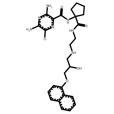 Nc1nc(N)c(C(=O)NC2(C(=O)NCCNCC(O)COc3cccc4ccccc34)CCCC2)nc1Cl